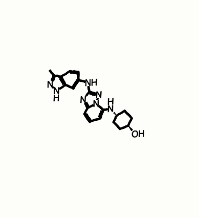 Cc1n[nH]c2cc(Nc3nc4cccc(N[C@H]5CC[C@H](O)CC5)n4n3)ccc12